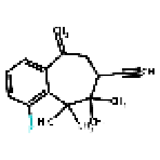 C#CC1CC(=C)c2cccc(F)c2C(C)(C)C1(C)C